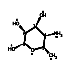 C[C@H]1O[C@H](O)[C@@H](O)[C@@H](O)[C@@H]1N